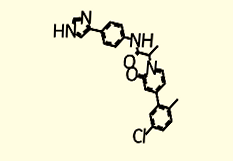 Cc1ccc(Cl)cc1-c1ccn(C(C)C(=O)Nc2ccc(-c3c[nH]cn3)cc2)c(=O)c1